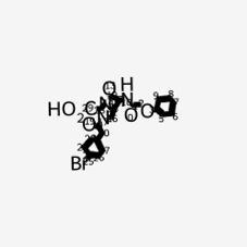 O=C(COc1ccccc1)N[C@H]1C(=O)N2C1CN(C(=O)Cc1ccc(Br)cc1)C2C(=O)O